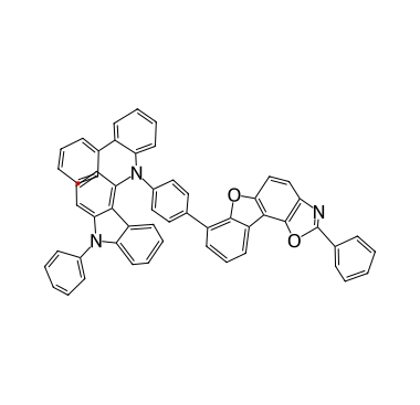 c1ccc(-c2nc3ccc4oc5c(-c6ccc(N(c7ccccc7-c7ccccc7)c7cccc8c7c7ccccc7n8-c7ccccc7)cc6)cccc5c4c3o2)cc1